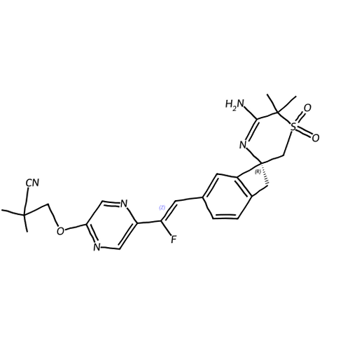 CC(C)(C#N)COc1cnc(/C(F)=C/c2ccc3c(c2)[C@]2(C3)CS(=O)(=O)C(C)(C)C(N)=N2)cn1